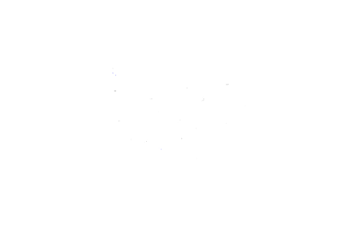 COC(=O)C1CC2(CCC1=O)C(=O)Nc1ccc(C#N)cc12